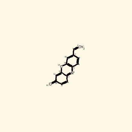 C=Cc1ccc2nc3ccc(=O)cc-3oc2c1